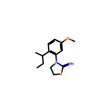 CCC(C)c1ccc(OC)cc1N1CCSC1=N